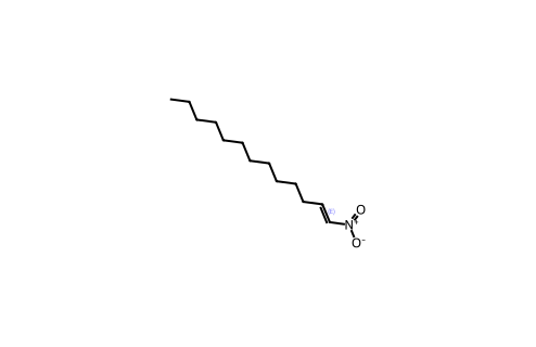 CCCCCCCCCCC/C=C/[N+](=O)[O-]